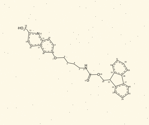 O=C(NCCCCOc1ccc2nc(C(=O)O)ccc2c1)OCC1c2ccccc2-c2ccccc21